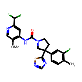 COc1cnc(C(F)F)cc1NC(=O)N1CCC(c2ccc(C)c(F)c2)(c2ncns2)C1